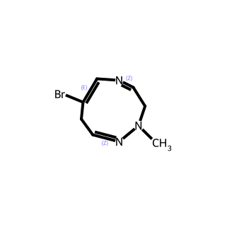 CN1C/C=N\C=C(\Br)C/C=N\1